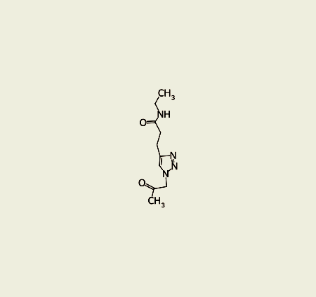 CCNC(=O)CCc1cn(CC(C)=O)nn1